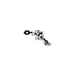 CCC(=O)[C@H](CC(=O)NCC1CC(Br)=NO1)NC(=O)OCc1ccccc1